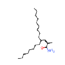 CCCCCCCCCC(C=C(C)C(N)=O)CCCCCCCC